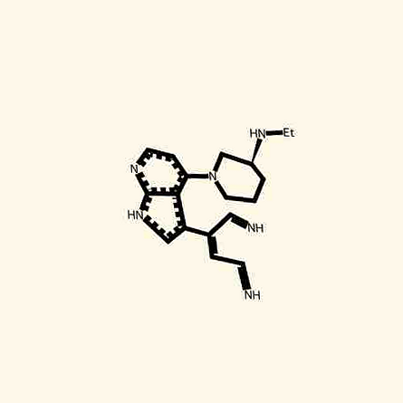 CCN[C@H]1CCCN(c2ccnc3[nH]cc(/C(C=N)=C/C=N)c23)C1